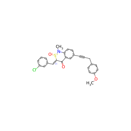 COc1ccc(CC#Cc2ccc3c(c2)C(=O)/C(=C/c2cccc(Cl)c2)[S+]([O-])N3C)cc1